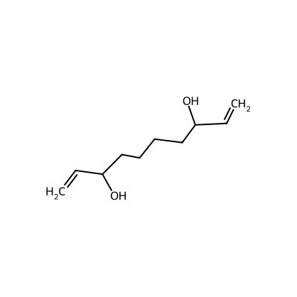 C=CC(O)CCCCC(O)C=C